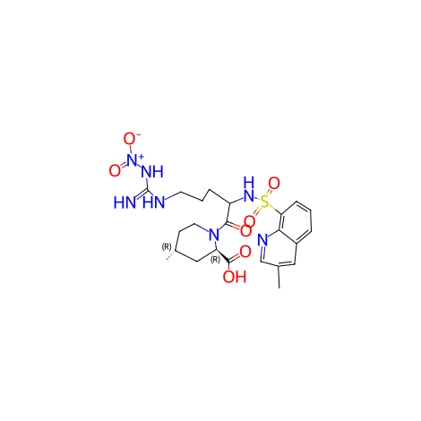 Cc1cnc2c(S(=O)(=O)NC(CCCNC(=N)N[N+](=O)[O-])C(=O)N3CC[C@@H](C)C[C@@H]3C(=O)O)cccc2c1